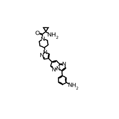 Nc1cccc(-c2cnc3cc(-c4cnn(C5CCN(C(=O)C6(N)CC6)CC5)c4)cnn23)c1